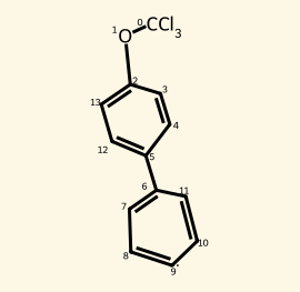 ClC(Cl)(Cl)Oc1ccc(-c2cc[c]cc2)cc1